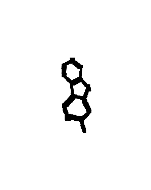 Cc1cc2sc3cnccc3c2cn1